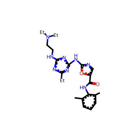 CCc1nc(NCCN(CC)CC)nc(Nc2ncc(C(=O)Nc3c(C)cccc3C)o2)n1